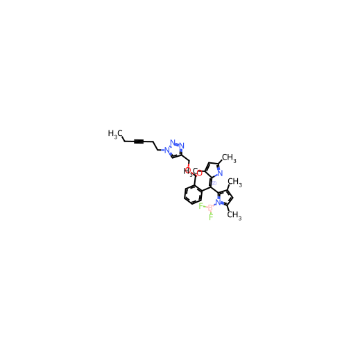 CCC#CCCn1cc(COC(=O)c2ccccc2/C(=C2/N=C(C)C=C2C)c2c(C)cc(C)n2B(F)F)nn1